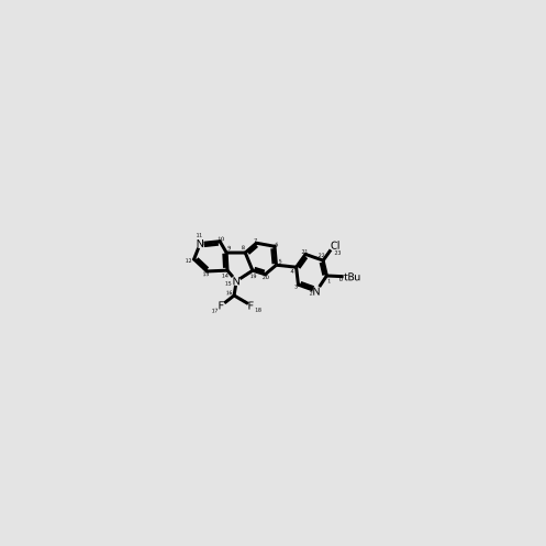 CC(C)(C)c1ncc(-c2ccc3c4cnccc4n(C(F)F)c3c2)cc1Cl